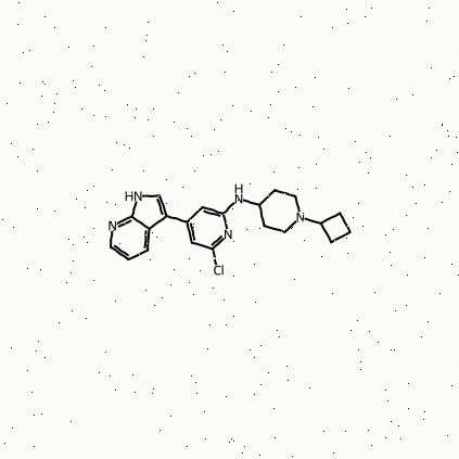 Clc1cc(-c2c[nH]c3ncccc23)cc(NC2CCN(C3CCC3)CC2)n1